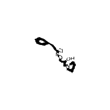 OC(CON=C(Cl)C=Cc1ccccc1)CN1CCCC1